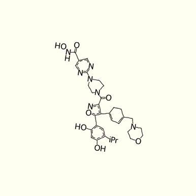 CC(C)c1cc(-c2onc(C(=O)N3CCN(c4ncc(C(=O)NO)cn4)CC3)c2C2=CC=C(CN3CCOCC3)CC2)c(O)cc1O